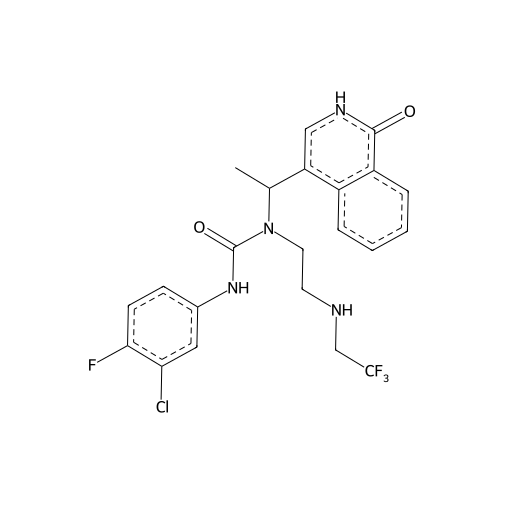 CC(c1c[nH]c(=O)c2ccccc12)N(CCNCC(F)(F)F)C(=O)Nc1ccc(F)c(Cl)c1